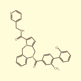 Cc1cc(C(=O)N2Cc3ccc(C(=O)NCc4cccnc4)n3Cc3ccccc32)ccc1-c1ccccc1Cl